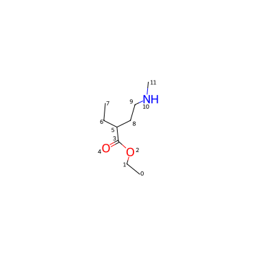 CCOC(=O)C(CC)CCNC